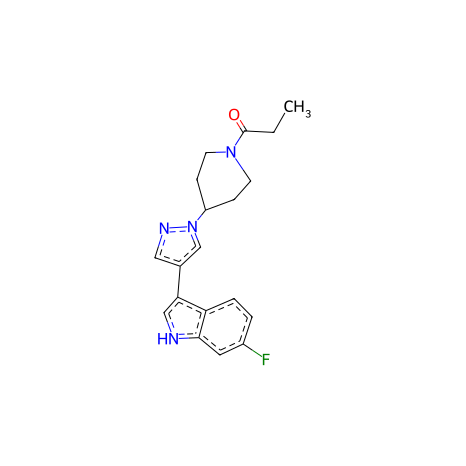 CCC(=O)N1CCC(n2cc(-c3c[nH]c4cc(F)ccc34)cn2)CC1